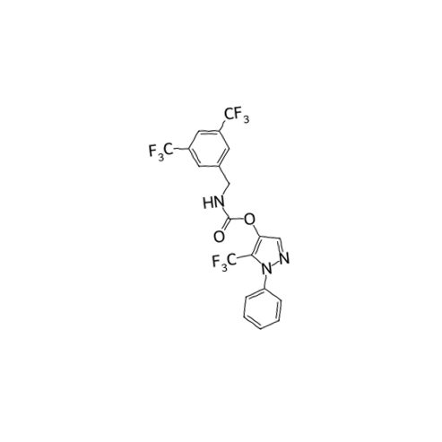 O=C(NCc1cc(C(F)(F)F)cc(C(F)(F)F)c1)Oc1cnn(-c2ccccc2)c1C(F)(F)F